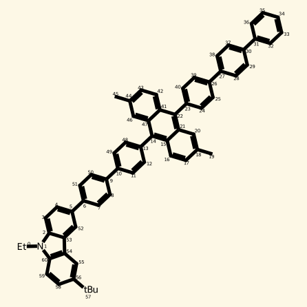 CCn1c2ccc(-c3ccc(-c4ccc(-c5c6ccc(C)cc6c(-c6ccc(-c7ccc(-c8ccccc8)cc7)cc6)c6ccc(C)cc56)cc4)cc3)cc2c2cc(C(C)(C)C)ccc21